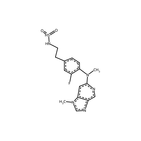 CN(c1cc2c(cn1)ncn2C)c1ccc(CCN[SH](=O)=O)cc1F